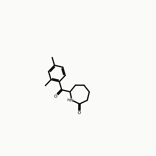 Cc1ccc(C(=O)C2CCCCC(=O)N2)c(C)c1